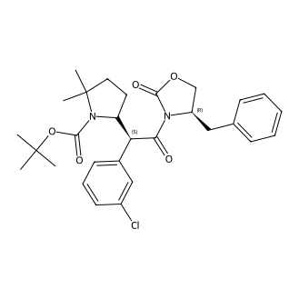 CC(C)(C)OC(=O)N1C([C@@H](C(=O)N2C(=O)OC[C@H]2Cc2ccccc2)c2cccc(Cl)c2)CCC1(C)C